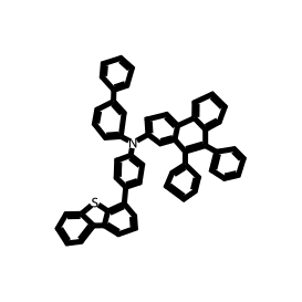 c1ccc(-c2cccc(N(c3ccc(-c4cccc5c4sc4ccccc45)cc3)c3ccc4c(c3)c(-c3ccccc3)c(-c3ccccc3)c3ccccc34)c2)cc1